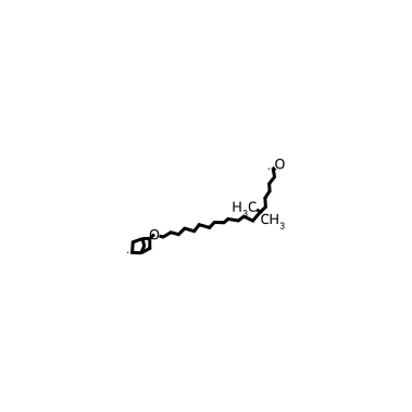 CC(C)(CCCCC[C]=O)CCCCCCCCCCCCCOC1CC2[CH]CC1C2